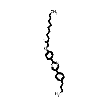 CCCCCCCCCC(F)COc1ccc(-c2ncc(-c3ccc(CCCC)cc3)cn2)cc1